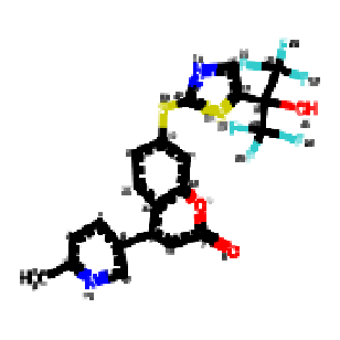 Cc1ccc(-c2cc(=O)oc3cc(Sc4ncc(C(O)(C(F)(F)F)C(F)(F)F)s4)ccc23)cn1